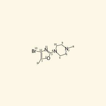 Cc1oc(N2CCN(C)CC2)nc1Br